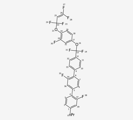 CCCc1ccc(-c2ccc(-c3ccc(C(F)(F)Oc4ccc(OC(F)(F)C=C(F)F)c(F)c4)cc3)c(F)c2)c(F)c1